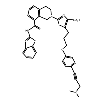 CN(C)CC#Cc1ccc(OCCCc2sc(N3CCc4cccc(C(=O)Nc5nc6ccccc6s5)c4C3)nc2C(=O)O)cn1